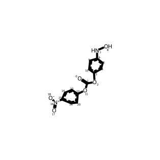 O=C(Oc1ccc(NO)cc1)Oc1ccc([N+](=O)[O-])cc1